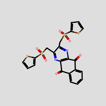 O=C1c2ccccc2C(=O)c2nc(CS(=O)(=O)c3cccs3)c(CS(=O)(=O)c3cccs3)nc21